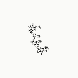 Nc1nc2c(ncn2[C@H]2CC(OP(=O)(O)OC[C@H]3O[C@@H](n4cnc5c(=O)[nH]c(N)nc54)C[C@@H]3O)[C@@H](CO)O2)c(=O)[nH]1